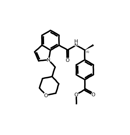 COC(=O)c1ccc([C@H](C)NC(=O)c2cccc3ccn(CC4CCOCC4)c23)cc1